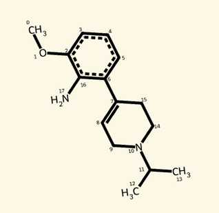 COc1cccc(C2=CCN(C(C)C)CC2)c1N